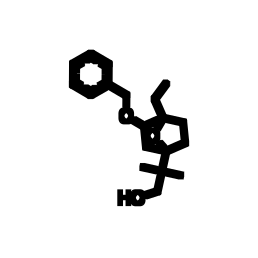 CCC12CCC(C(C)(C)CO)(CC1OCc1ccccc1)O2